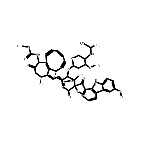 COC(=O)NC1C(=O)C[C@H](O)/C(=C/CS(C)=S)C2=C1C#C/C=C\C#C[C@@H]2OC1OC(C)C(SC)(C(=O)c2nccc3c2[nH]c2ccc(OC)cc23)C(O)C1OC1CC(OC)C(NC(C)C)CO1